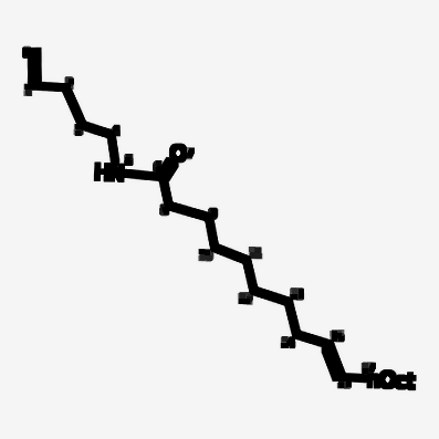 C=CCCCNC(=O)CCCCCCCC=CCCCCCCCC